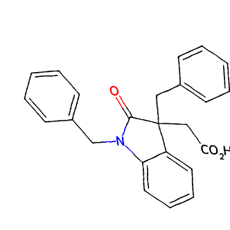 O=C(O)CC1(Cc2ccccc2)C(=O)N(Cc2ccccc2)c2ccccc21